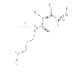 C=C(/C(F)=C(F)\C(F)=C/C)[C@H](CCCCCl)C(=O)O